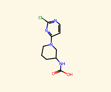 O=C(O)NC1CCCN(c2ccnc(Cl)n2)C1